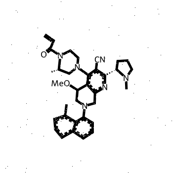 C=CC(=O)N1CCN(c2c(C#N)c([C@@H]3CCCN3C)nc3c2C(OC)CN(c2cccc4cccc(C)c24)C3)C[C@@H]1C